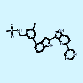 CS(=O)(=O)NCc1cc(F)cc(-c2cccc3[nH]c(-c4n[nH]c5ccc(-c6cncnc6)nc45)cc23)c1